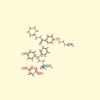 CCCCOc1ccc(C(=O)CCN2CCCCC2)cc1.CN(C)CCC(c1ccc(Cl)cc1)c1ccccn1.O=C(O)/C=C\C(=O)O